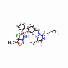 CCCCc1nc(=O)c(C)nn1Cc1ccc(-c2ccccc2S(=O)(=O)Nc2noc(C)c2F)cc1